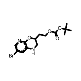 CC(C)(C)OC(=O)OCCC1CNc2cc(Br)cnc2O1